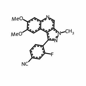 COc1cc2ncc3c(c(-c4ccc(C#N)cc4F)nn3C)c2cc1OC